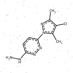 Cc1nn(-c2ccc(NN)nn2)c(C)c1Cl